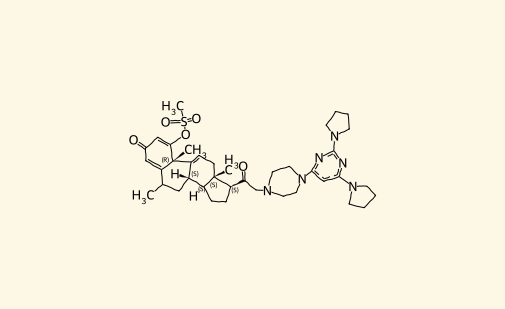 CC1C[C@@H]2C(=CC[C@]3(C)[C@@H](C(=O)CN4CCN(c5cc(N6CCCC6)nc(N6CCCC6)n5)CC4)CC[C@@H]23)[C@@]2(C)C(OS(C)(=O)=O)=CC(=O)C=C12